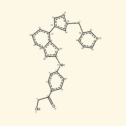 O=C(CO)c1ccc(Nc2nc3c(-c4cnn(Cc5cccnc5)c4)cccn3n2)cc1